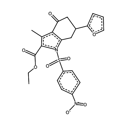 CCOC(=O)c1c(C)c2c(n1S(=O)(=O)c1ccc([N+](=O)[O-])cc1)CC(c1ccco1)CC2=O